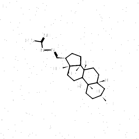 C[C@]12CC[C@H](O)C[C@H]1CC[C@@H]1[C@@H]2CC[C@]2(C)[C@@H](C=NNC(=N)N)CC[C@]12O